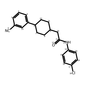 N#Cc1cccc(C2CCC(CC(=O)Nc3ccc(Cl)cc3)CC2)c1